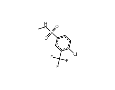 CNS(=O)(=O)c1ccc(Cl)c(C(F)(F)F)c1